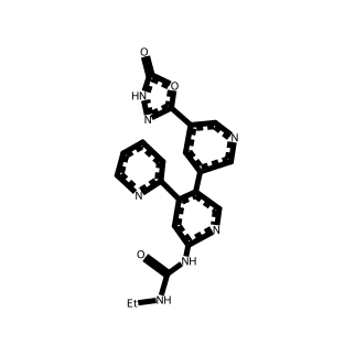 CCNC(=O)Nc1cc(-c2ccccn2)c(-c2cncc(-c3n[nH]c(=O)o3)c2)cn1